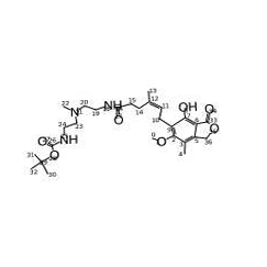 COc1c(C)c2c(c(O)c1CC=C(C)CCC(=O)NCCN(C)CCNC(=O)OC(C)(C)C)C(=O)OC2